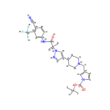 CC(C)(C)OC(=O)n1ccc(CN2CCC(c3cnn(C(C)(C)C(=O)Nc4ccc(C#N)c(C(F)(F)F)c4)c3)CC2)c1